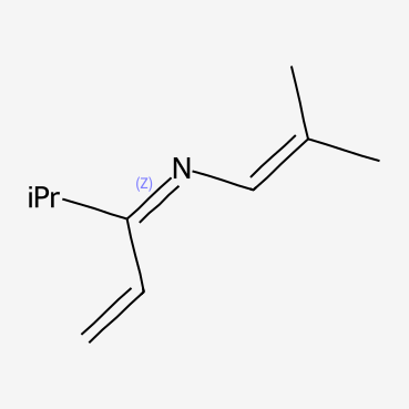 C=C/C(=N\C=C(C)C)C(C)C